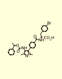 Cc1nn(C)c(-c2ccc(C(=O)N[C@H](Cc3ccc(Br)cc3)C(=O)O)cc2)c1NC(=O)O[C@H](C)c1ccccc1